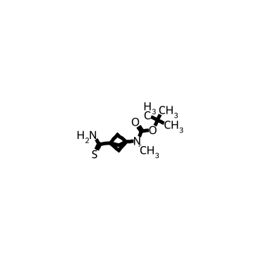 CN(C(=O)OC(C)(C)C)C12CC(C(N)=S)(C1)C2